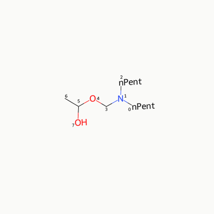 CCCCCN(CCCCC)COC(C)O